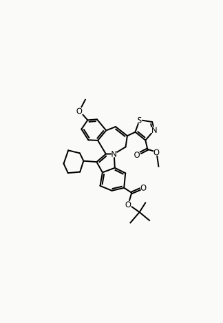 COC(=O)c1ncsc1C1=Cc2cc(OC)ccc2-c2c(C3CCCCC3)c3ccc(C(=O)OC(C)(C)C)cc3n2C1